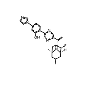 C=C(c1cnc(-c2ccc(-n3ccnc3)cc2O)nn1)[C@H]1C[C@]2(C)CC(C)C[C@@H](N2)[C@@H]1F